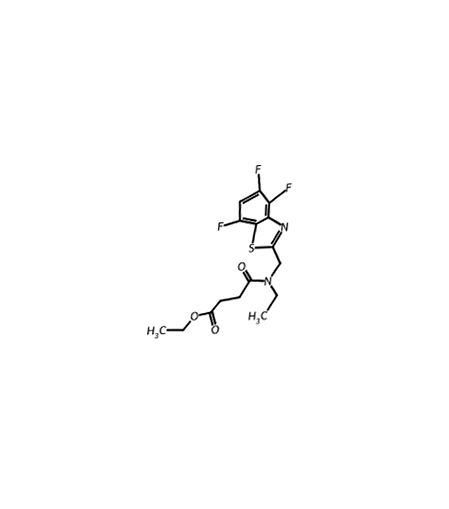 CCOC(=O)CCC(=O)N(CC)Cc1nc2c(F)c(F)cc(F)c2s1